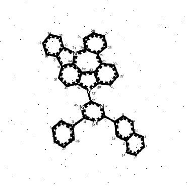 c1ccc(-c2nc(-c3ccc4ccccc4c3)nc(-n3c4cccc5c6ccccc6n6c7ccccc7c7ccc3c(c54)c76)n2)cc1